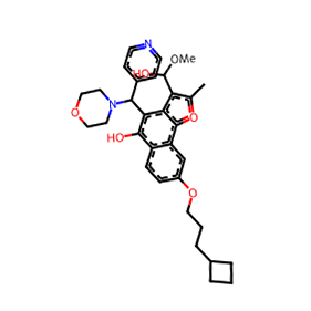 COC(O)c1c(C)oc2c1c(C(c1ccncc1)N1CCOCC1)c(O)c1ccc(OCCCC3CCC3)cc12